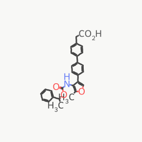 Cc1occ(-c2ccc(-c3ccc(CC(=O)O)cc3)cc2)c1NC(=O)OC(C)c1ccccc1